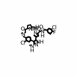 CNc1n[nH]c(-c2c[nH]c(C(=O)N[C@H](CO)c3ccc(F)c(Cl)c3)c2)c1-c1ccc(CN(C)CC(=O)C2CCC(C)N2)c(Cl)c1